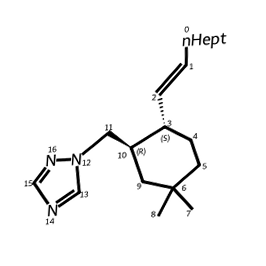 CCCCCCCC=C[C@@H]1CCC(C)(C)C[C@H]1Cn1cncn1